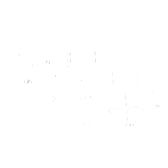 CS(=O)(=O)c1cc(-c2cccc(C3(S(=O)(=O)c4ccccc4)CNC(=O)N3c3ccccc3)c2)ccc1CO